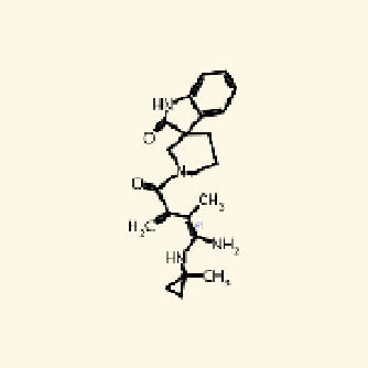 C=C(C(=O)N1CCCC2(C1)C(=O)Nc1ccccc12)/C(C)=C(/N)NC1(C)CC1